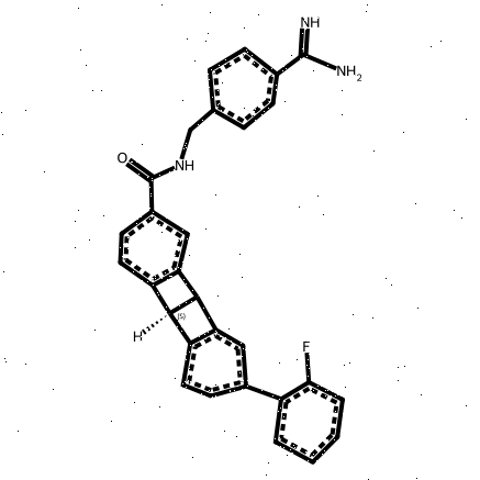 N=C(N)c1ccc(CNC(=O)c2ccc3c(c2)C2c4cc(-c5ccccc5F)ccc4[C@@H]32)cc1